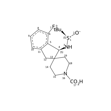 CC(C)(C)[S@@+]([O-])N[C@@H]1c2c(F)cccc2CC12CCN(C(=O)O)CC2